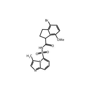 COc1ccc(Br)c2c1C(C(=O)NS(=O)(=O)c1cccc3ncc(C)n13)CC2